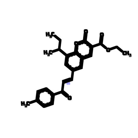 CCOC(=O)c1cc2cc(/C=C/C(=O)c3ccc(C)cc3)cc(C(C)CC)c2oc1=O